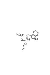 C=CCOC(=O)N[C@@H](Cc1c[nH]c2ccccc12)C(=O)O